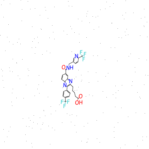 O=C(O)CCCCc1nc2cc(C(=O)NCc3ccc(C(F)(F)F)nc3)ccc2nc1-c1ccc(C(F)(F)F)cc1